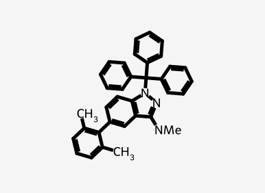 CNc1nn(C(c2ccccc2)(c2ccccc2)c2ccccc2)c2ccc(-c3c(C)cccc3C)cc12